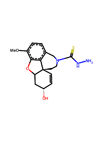 COc1ccc2c3c1OC1C[C@@H](O)C=C[C@@]31CCN(C(=S)NN)C2